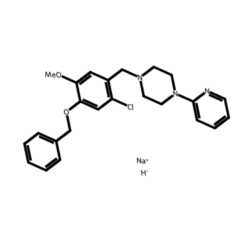 COc1cc(CN2CCN(c3ccccn3)CC2)c(Cl)cc1OCc1ccccc1.[H-].[Na+]